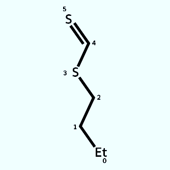 CCCCSC=S